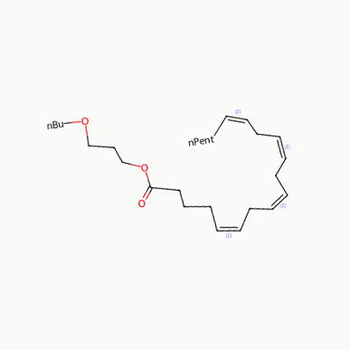 CCCCC/C=C\C/C=C\C/C=C\C/C=C\CCCC(=O)OCCCOCCCC